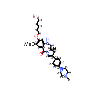 COc1cc2c(cc1OCCCCCBr)NC[C@@H]1CC(c3ccc(N4CCN(C)CC4)cc3)=CN1C2=O